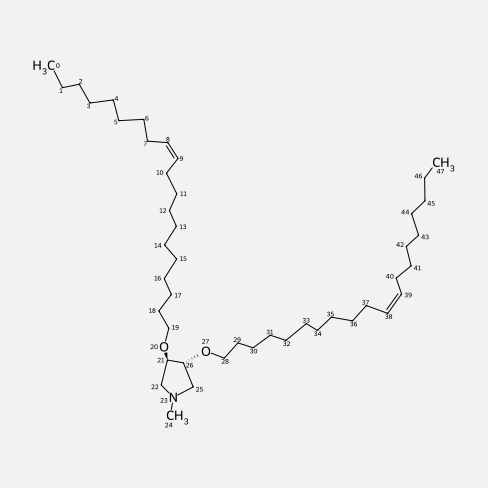 CCCCCCCC/C=C\CCCCCCCCCCO[C@@H]1CN(C)C[C@H]1OCCCCCCCCCC/C=C\CCCCCCCC